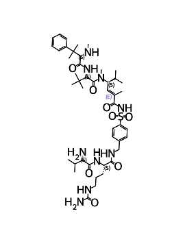 CN[C@H](C(=O)N[C@H](C(=O)N(C)[C@H](/C=C(\C)C(=O)NS(=O)(=O)c1ccc(CNC(=O)[C@H](CCCNC(N)=O)NC(=O)[C@@H](N)C(C)C)cc1)C(C)C)C(C)(C)C)C(C)(C)c1ccccc1